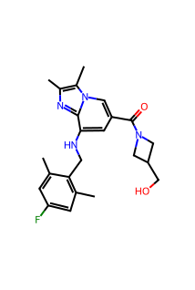 Cc1cc(F)cc(C)c1CNc1cc(C(=O)N2CC(CO)C2)cn2c(C)c(C)nc12